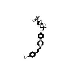 C[C@@]1(COc2ccc(N3CCN(C/C=C/c4ccc(Br)cc4)CC3)cc2)Cn2cc([N+](=O)[O-])nc2O1